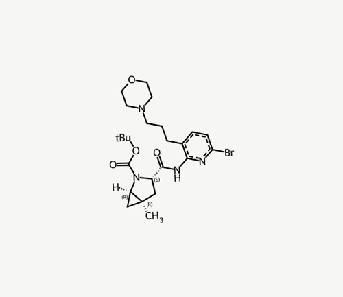 CC(C)(C)OC(=O)N1[C@H](C(=O)Nc2nc(Br)ccc2CCCN2CCOCC2)C[C@@]2(C)C[C@@H]12